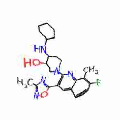 Cc1noc(-c2cc3ccc(F)c(C)c3nc2N2CC[C@H](NC3CCCCC3)[C@H](O)C2)n1